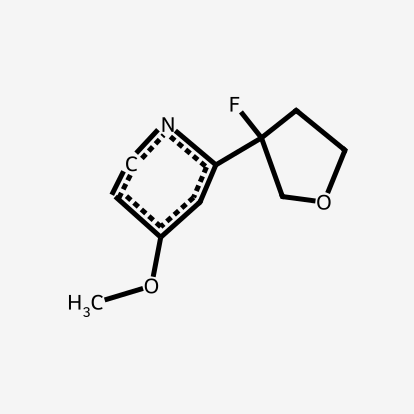 COc1ccnc(C2(F)CCOC2)c1